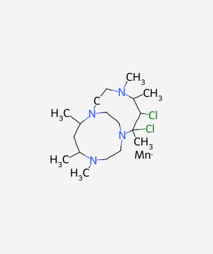 CC1CC(C)N2CCN(C)C(C)C(Cl)C(C)(Cl)N(CCN1C)CC2.[Mn]